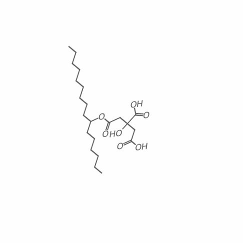 CCCCCCCCCC(CCCCCC)OC(=O)CC(O)(CC(=O)O)C(=O)O